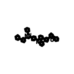 c1ccc(-c2cccc(-c3cc(-c4ccc(-c5nc6ccccc6c6c(-c7cccc(-c8cccc9c8oc8ccccc89)c7)cccc56)cc4)nc(-c4ccccc4)n3)c2)cc1